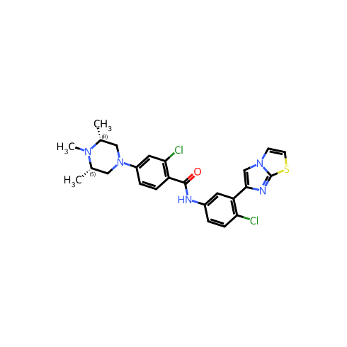 C[C@@H]1CN(c2ccc(C(=O)Nc3ccc(Cl)c(-c4cn5ccsc5n4)c3)c(Cl)c2)C[C@H](C)N1C